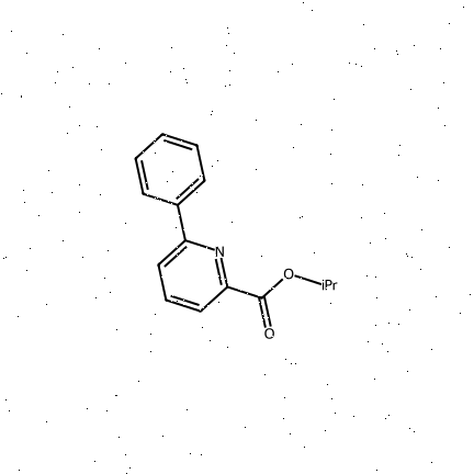 CC(C)OC(=O)c1cccc(-c2ccccc2)n1